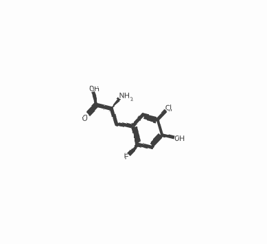 N[C@@H](Cc1cc(Cl)c(O)cc1F)C(=O)O